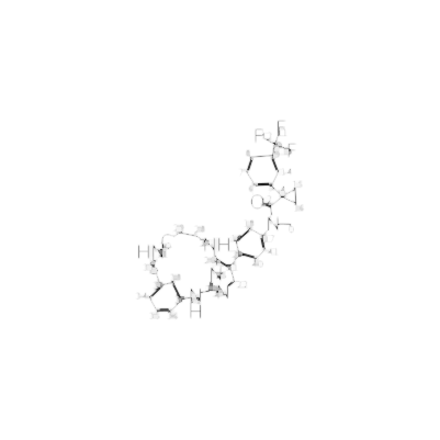 CN(C(=O)C1(c2cccc(C(F)(F)F)c2)CC1)c1ccc(-c2cnc3nc2NCCCNSc2cccc(c2)N3)cc1